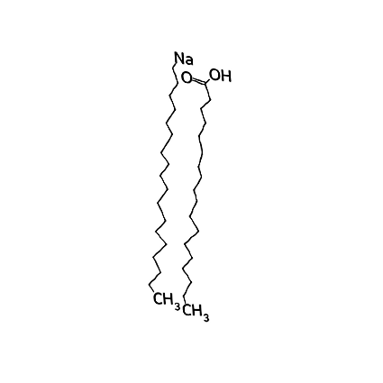 CCCCCCCCCCCCCCCCCC(=O)O.CCCCCCCCCCCCCCCCC[CH2][Na]